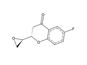 O=C1C[C@@H]([C@H]2CO2)Oc2ccc(F)cc21